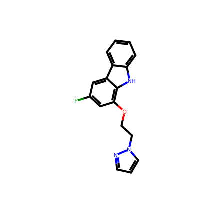 Fc1cc(OCCn2cccn2)c2[nH]c3ccccc3c2c1